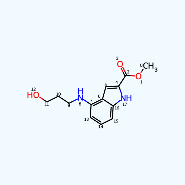 COC(=O)c1cc2c(NCCCO)cccc2[nH]1